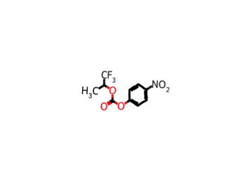 CC(OC(=O)Oc1ccc([N+](=O)[O-])cc1)C(F)(F)F